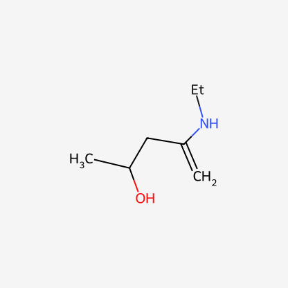 C=C(CC(C)O)NCC